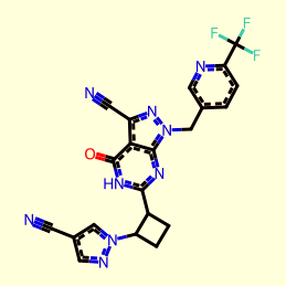 N#Cc1cnn(C2CCC2c2nc3c(c(C#N)nn3Cc3ccc(C(F)(F)F)nc3)c(=O)[nH]2)c1